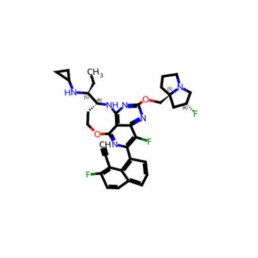 C#Cc1c(F)ccc2cccc(-c3nc4c5c(nc(OC[C@@]67CCCN6C[C@H](F)C7)nc5c3F)N[C@@H]([C@H](CC)NC3CC3)CCO4)c12